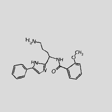 COc1ccccc1C(=O)NC(CCCN)c1ncc(-c2ccccc2)[nH]1